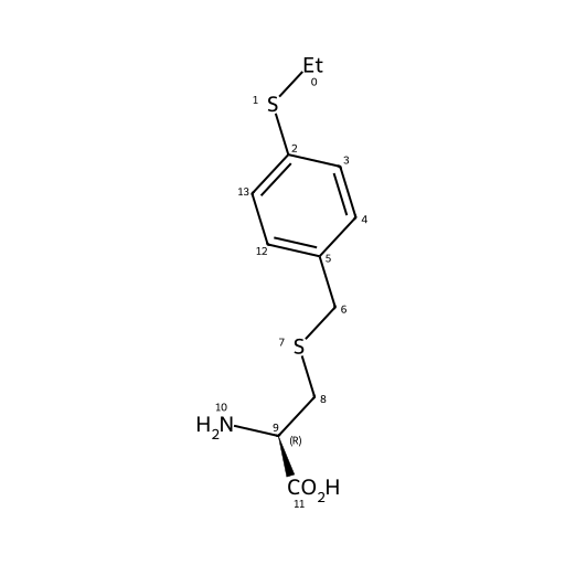 CCSc1ccc(CSC[C@H](N)C(=O)O)cc1